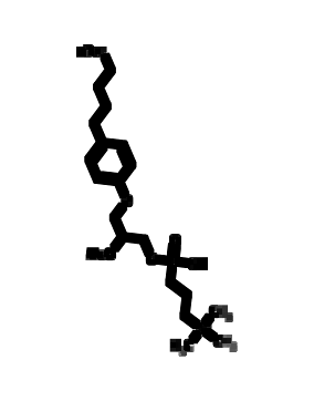 CCCCCCCCCCCCCCc1ccc(OCC(COP(=O)(O)CCC[N+](C)(C)C)OC)cc1